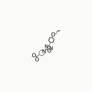 C=CCOc1ccc(-c2noc(N3CCC(C(=O)OC)CC3)n2)cc1